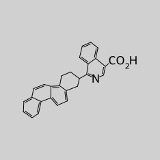 O=C(O)c1cnc(C2CCc3c(ccc4c3ccc3ccccc34)C2)c2ccccc12